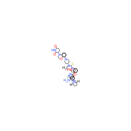 CN(C(=S)N1CCC(Oc2cc(F)cc(N3[C@@H]4CC[C@H]3CN(c3cc(-c5ccccc5O)nnc3N)C4)c2)CC1)C1CCN(c2cccc3c2OCCN3[C@H]2CCC(=O)NC2=O)CC1